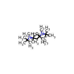 CN(C(C)(C)C)C(C)(C)CC(C)(C)N(C)C(C)(C)C